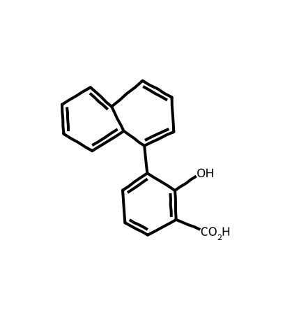 O=C(O)c1cccc(-c2cccc3ccccc23)c1O